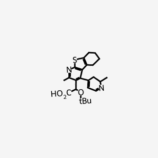 Cc1nc2sc3c(c2c(C2=CC=NC(C)C2)c1C(OC(C)(C)C)C(=O)O)CCCC3